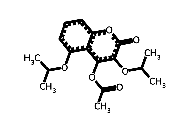 CC(=O)Oc1c(OC(C)C)c(=O)oc2cccc(OC(C)C)c12